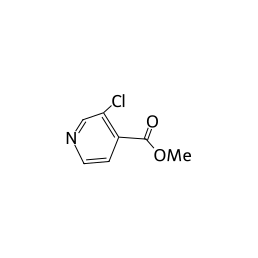 COC(=O)c1ccncc1Cl